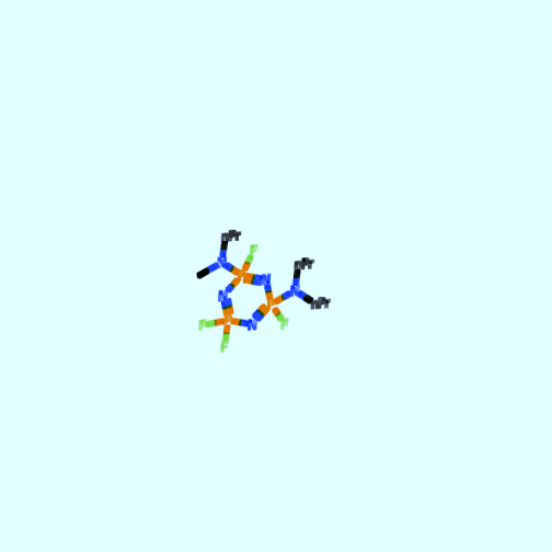 CCCN(C)P1(F)=NP(F)(N(CCC)CCC)=NP(F)(F)=N1